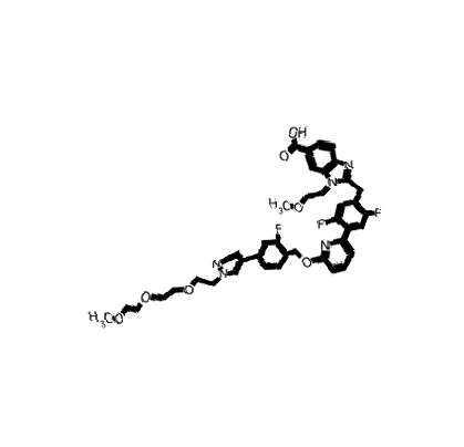 COCCOCCOCCn1cc(-c2ccc(COc3cccc(-c4cc(F)c(Cc5nc6ccc(C(=O)O)cc6n5CCOC)cc4F)n3)c(F)c2)cn1